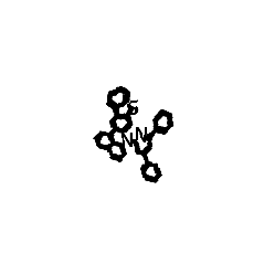 c1ccc(-c2cc(-c3ccccc3)nc(N3c4cc5sc6ccccc6c5cc4-c4cccc5cccc3c45)c2)cc1